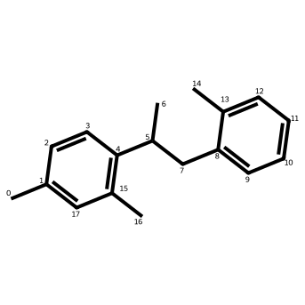 Cc1ccc(C(C)Cc2ccccc2C)c(C)c1